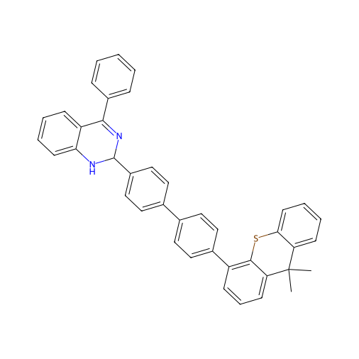 CC1(C)c2ccccc2Sc2c(-c3ccc(-c4ccc(C5N=C(c6ccccc6)c6ccccc6N5)cc4)cc3)cccc21